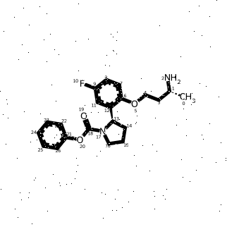 C[C@@H](N)CCOc1ccc(F)cc1[C@H]1CCCN1C(=O)Oc1ccccc1